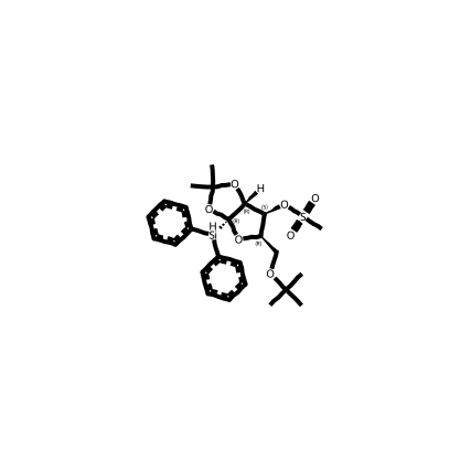 CC(C)(C)OC[C@H]1O[C@@]2([SiH](c3ccccc3)c3ccccc3)OC(C)(C)O[C@@H]2[C@H]1OS(C)(=O)=O